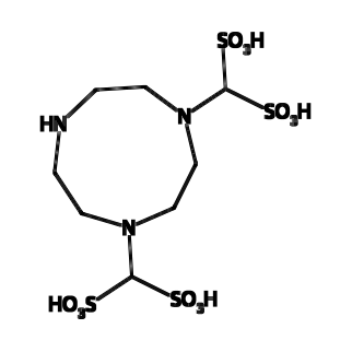 O=S(=O)(O)C(N1CCNCCN(C(S(=O)(=O)O)S(=O)(=O)O)CC1)S(=O)(=O)O